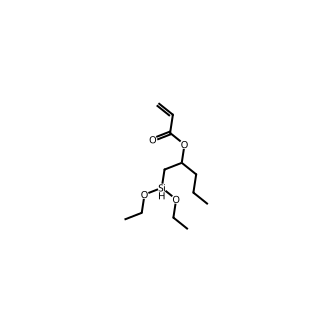 C=CC(=O)OC(CCC)C[SiH](OCC)OCC